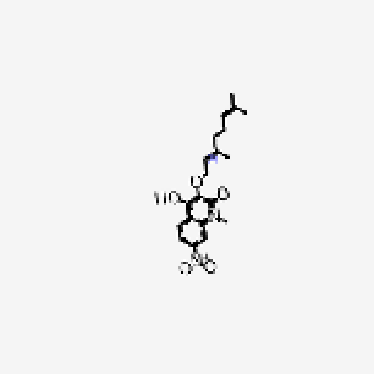 CC(C)=CCC/C(C)=C/COc1c(O)c2ccc([N+](=O)[O-])cc2n(C)c1=O